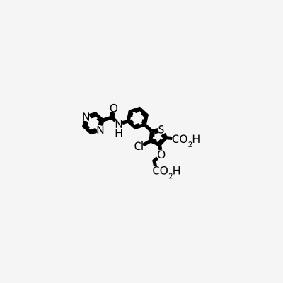 O=C(O)COc1c(C(=O)O)sc(-c2cccc(NC(=O)c3cnccn3)c2)c1Cl